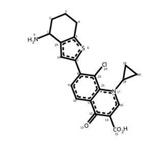 NC1CCCc2sc(-c3ccc4c(=O)c(C(=O)O)cn(C5CC5)c4c3Cl)cc21